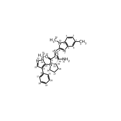 Cc1ccc2c(c1)nc(SCC(=O)[N+]1(c3c(-c4ccccc4)cnn3C)CCC[C@H]1C(N)=O)n2C